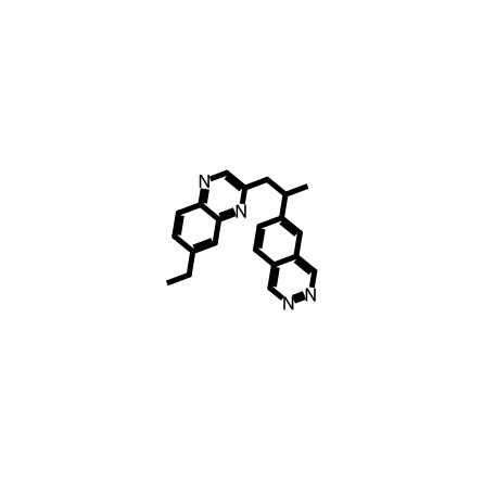 CCc1ccc2ncc(CC(C)c3ccc4cnncc4c3)nc2c1